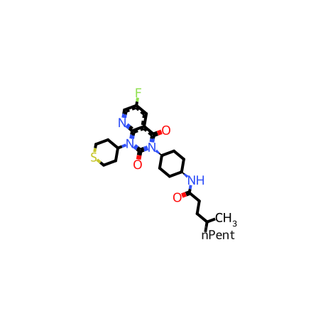 CCCCCC(C)CCC(=O)N[C@H]1CC[C@@H](n2c(=O)c3cc(F)cnc3n(C3CCSCC3)c2=O)CC1